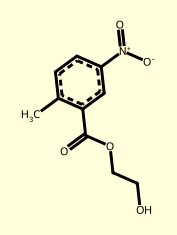 Cc1ccc([N+](=O)[O-])cc1C(=O)OCCO